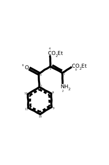 CCOC(=O)C(N)=C(C(=O)OCC)C(=O)c1ccccc1